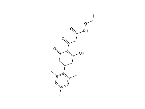 CCONC(=O)CC(=O)C1=C(O)CC(c2c(C)cc(C)cc2C)CC1=O